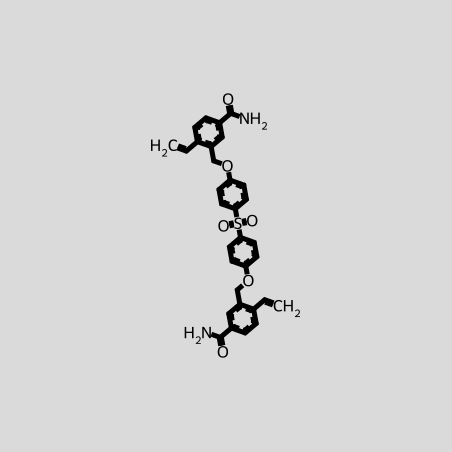 C=Cc1ccc(C(N)=O)cc1COc1ccc(S(=O)(=O)c2ccc(OCc3cc(C(N)=O)ccc3C=C)cc2)cc1